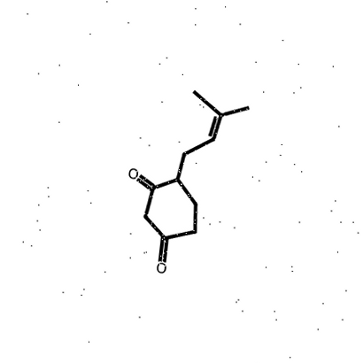 CC(C)=CCC1CCC(=O)CC1=O